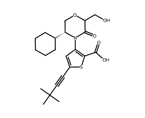 CC(C)(C)C#Cc1cc(N2C(=O)C(CO)OC[C@H]2C2CCCCC2)c(C(=O)O)s1